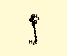 CCCCCCCCCCCCOC(=O)C1=CC=CN(C)C1